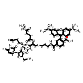 CC[C@H]1O[C@@H](n2ccc(=O)[nH]c2=O)C(OP(=O)(OCCC#N)OCC(COCCCNC(=O)c2ccc(C(=O)O)c(-c3c4ccc(=[N+](C)C)cc-4oc4cc(N(C)C)ccc34)c2)OC(=O)CCC(=O)NC)[C@H]1OC